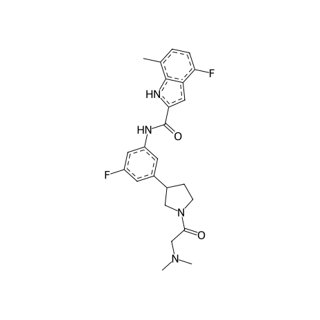 Cc1ccc(F)c2cc(C(=O)Nc3cc(F)cc(C4CCN(C(=O)CN(C)C)C4)c3)[nH]c12